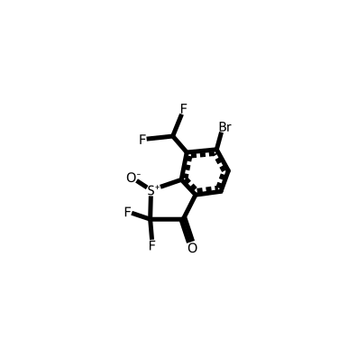 O=C1c2ccc(Br)c(C(F)F)c2[S+]([O-])C1(F)F